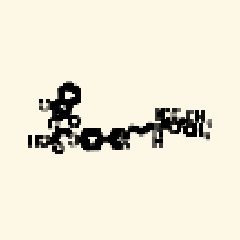 CC(C)(C)OC(=O)NCCCn1cc(-c2ccc(OCC(ON3C(=O)c4ccccc4C3=O)C(=O)O)cc2)cn1